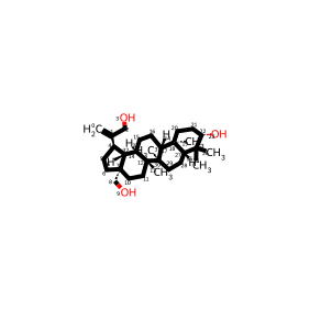 C=C(CO)[C@@H]1CC[C@]2(CO)CC[C@]3(C)[C@H](CC[C@@H]4[C@@]5(C)CC[C@H](O)C(C)(C)[C@@H]5CC[C@]43C)[C@@H]12